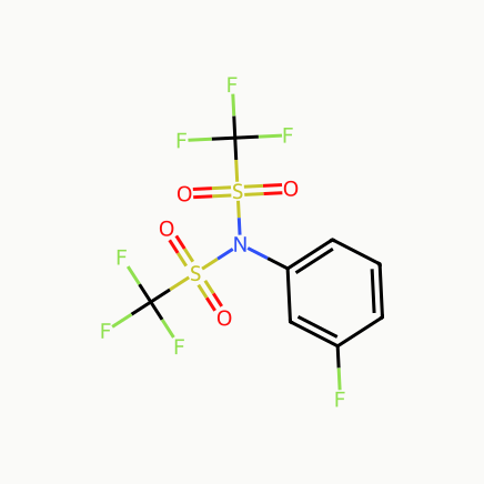 O=S(=O)(N(c1cccc(F)c1)S(=O)(=O)C(F)(F)F)C(F)(F)F